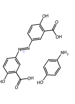 Nc1ccc(O)cc1.O=C(O)c1cc(/N=N/c2ccc(O)c(C(=O)O)c2)ccc1O